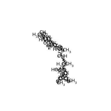 COC(=O)[C@H](CCC(=O)NCCSSC(C)(C)CCC(=O)N1C[C@H](O)C[C@H]1COC(c1ccccc1)(c1ccc(OC)cc1)c1ccc(OC)cc1)NC(=O)c1ccc(N(Cc2cnc3nc(NC(=O)C(C)C)[nH]c(=O)c3n2)C(=O)C(F)(F)F)cc1